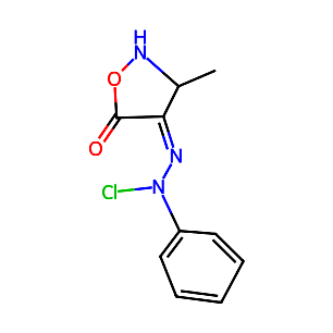 CC1NOC(=O)C1=NN(Cl)c1ccccc1